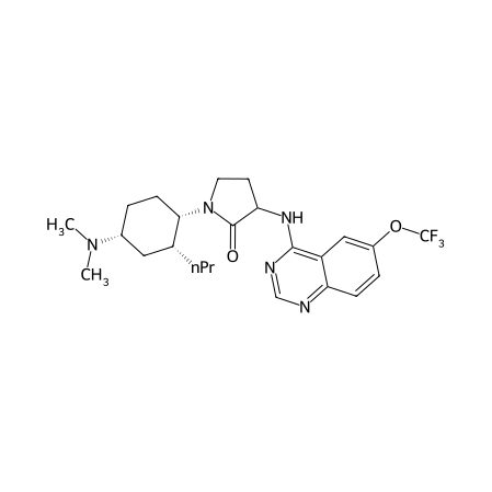 CCC[C@@H]1C[C@H](N(C)C)CC[C@@H]1N1CCC(Nc2ncnc3ccc(OC(F)(F)F)cc23)C1=O